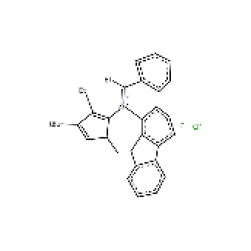 CCC1=[C](/[Zr+2](=[C](\CC)c2ccccc2)[c]2cccc3c2Cc2ccccc2-3)C(C)C=C1C(C)(C)C.[Cl-].[Cl-]